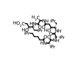 CC(C)CCCCC(=O)N[C@H](C(=O)N[C@H](C(=O)N[C@@H](CC(C)C)[C@@H](O)CC(=O)N[C@@H](C)C(=O)N[C@@H](CC(C)C)[C@@H](O)CC(=O)O)C(C)C)C(C)C